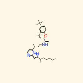 C=C(COc1ccc(C(C)(C)C)cc1C(=C)C)NCCC(C)c1ccnc2cc(C(C)CCCCC)nn12